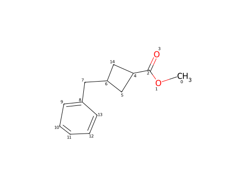 COC(=O)C1CC(Cc2ccccc2)C1